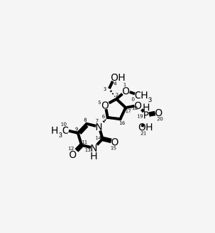 CO[C@]1(CO)O[C@@H](n2cc(C)c(=O)[nH]c2=O)CC1O[PH](=O)O